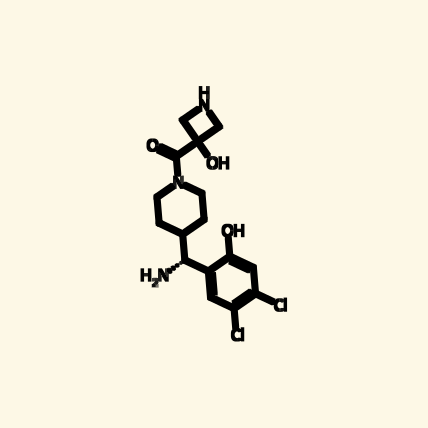 N[C@@H](c1cc(Cl)c(Cl)cc1O)C1CCN(C(=O)C2(O)CNC2)CC1